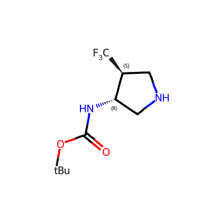 CC(C)(C)OC(=O)N[C@H]1CNC[C@@H]1C(F)(F)F